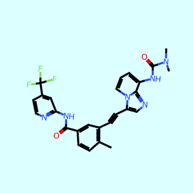 Cc1ccc(C(=O)Nc2cc(C(F)(F)F)ccn2)cc1C#Cc1cnc2c(NC(=O)N(C)C)cccn12